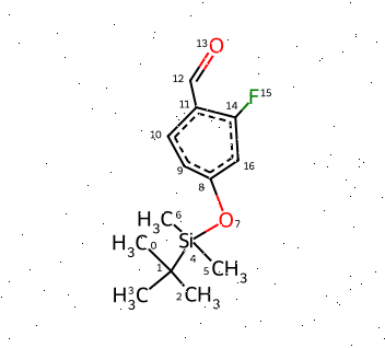 CC(C)(C)[Si](C)(C)Oc1ccc(C=O)c(F)c1